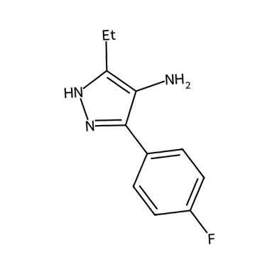 CCc1[nH]nc(-c2ccc(F)cc2)c1N